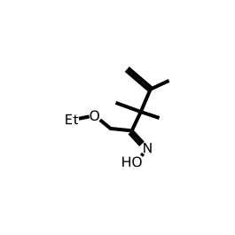 C=C(C)C(C)(C)/C(COCC)=N/O